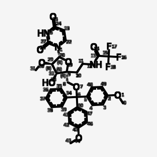 COc1ccc(C(OC[C@@]2(CCNC(=O)C(F)(F)F)O[C@@H](n3ccc(=O)[nH]c3=O)[C@H](OC)[C@@H]2O)(c2ccccc2)c2ccc(OC)cc2)cc1